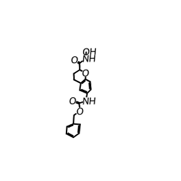 O=C(Nc1ccc2c(c1)CCC(C(=O)NO)O2)OCc1ccccc1